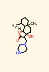 CC1CCC[C@]2(C)CCC3(O)C(CN4CCNCC4)C(=O)O[C@H]3C12